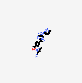 Cc1ccc(Nc2cnc3c(-c4ccc(C(C)O)c(-n5nc(C#N)cc5C)c4)cnn3c2)nn1